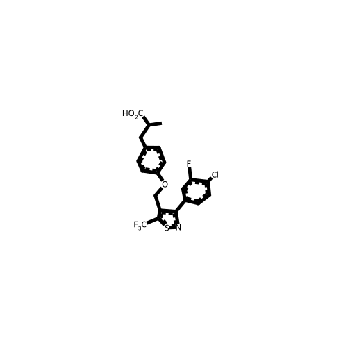 CC(Cc1ccc(OCc2c(-c3ccc(Cl)c(F)c3)nsc2C(F)(F)F)cc1)C(=O)O